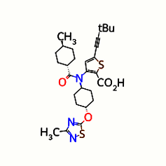 Cc1nsc(O[C@H]2CC[C@H](N(c3cc(C#CC(C)(C)C)sc3C(=O)O)C(=O)[C@H]3CC[C@H](C)CC3)CC2)n1